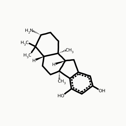 CC1(C)[C@H](N)CC[C@]2(C)[C@@H]1CC[C@]1(C)c3c(O)cc(O)cc3C[C@@H]21